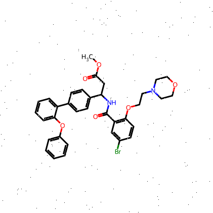 COC(=O)CC(NC(=O)c1cc(Br)ccc1OCCN1CCOCC1)c1ccc(-c2ccccc2Oc2ccccc2)cc1